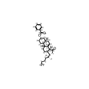 CC(C)CCC[C@@H](C)[C@H]1CC(=O)[C@H]2C3=CC[C@H]4C[C@@H](OC(=O)c5ccccc5)CC[C@]4(C)[C@H]3CC[C@@]21C